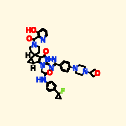 O=C(Cn1c2c(c(=O)n3nc(-c4ccc(N5CCN(C6COC6)CC5)cc4)nc13)C1(CCN(C(=O)c3ncccc3O)CC1)[C@@H]1C[C@H]21)Nc1ccc(C2(F)CC2)cc1